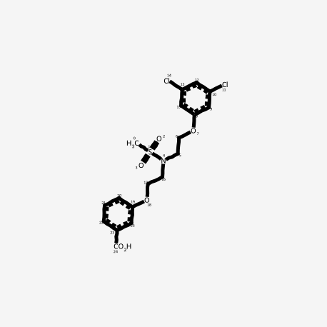 CS(=O)(=O)N(CCOc1cc(Cl)cc(Cl)c1)CCOc1cccc(C(=O)O)c1